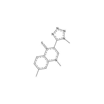 Cc1ccc2c(=S)c(-c3nnnn3C)cn(C)c2c1